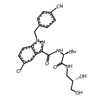 CC(C)(C)[C@H](NC(=O)c1nn(Cc2ccc(C#N)cc2)c2ccc(Cl)cc12)C(=O)NC[C@H](O)CO